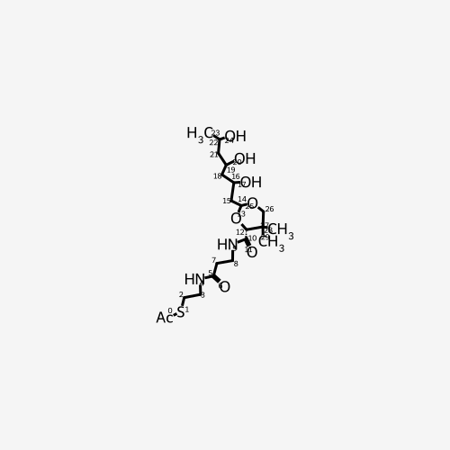 CC(=O)SCCNC(=O)CCNC(=O)[C@@H]1OC(CC(O)CC(O)CC(C)O)OCC1(C)C